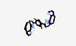 Cc1cc(-c2ccc3ccc4cccnc4c3n2)c(C)cc1-c1ccc2ccc3cccnc3c2n1